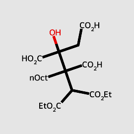 CCCCCCCCC(C(=O)O)(C(C(=O)OCC)C(=O)OCC)C(O)(CC(=O)O)C(=O)O